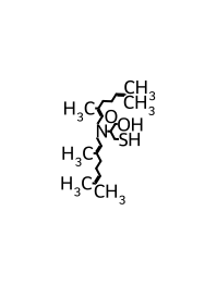 CC(C)=CCC/C(C)=C/CN(C/C=C(\C)CCC=C(C)C)C(CS)C(=O)O